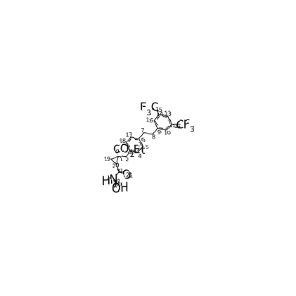 CCOC(=O)[C@@]1(Cc2ccc(CCc3cc(C(F)(F)F)cc(C(F)(F)F)c3)cc2)C[C@@H]1C(=O)NO